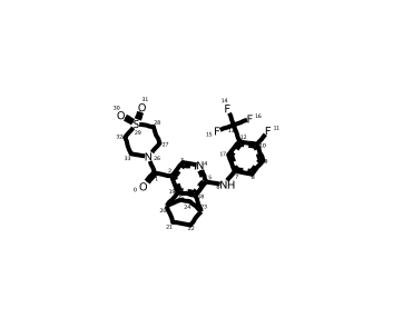 O=C(c1cnc(Nc2ccc(F)c(C(F)(F)F)c2)c2c1C1CCC2CC1)N1CCS(=O)(=O)CC1